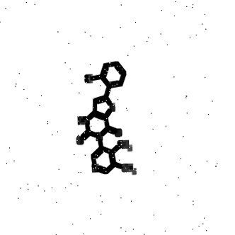 Cc1cncc(-n2c(=O)[nH]c3cc(-c4ccccc4Cl)sc3c2=O)c1C